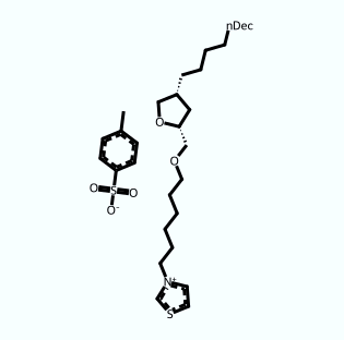 CCCCCCCCCCCCCC[C@H]1CO[C@@H](COCCCCCC[n+]2ccsc2)C1.Cc1ccc(S(=O)(=O)[O-])cc1